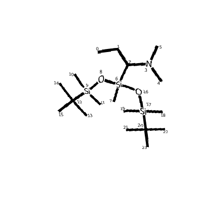 CCC(N(C)C)[Si](C)(O[Si](C)(C)C(C)(C)C)O[Si](C)(C)C(C)(C)C